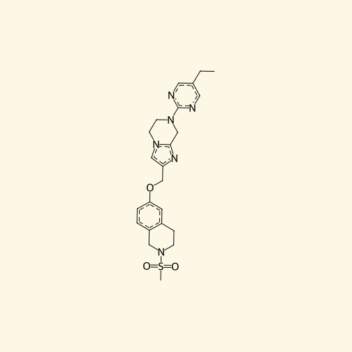 CCc1cnc(N2CCn3cc(COc4ccc5c(c4)CCN(S(C)(=O)=O)C5)nc3C2)nc1